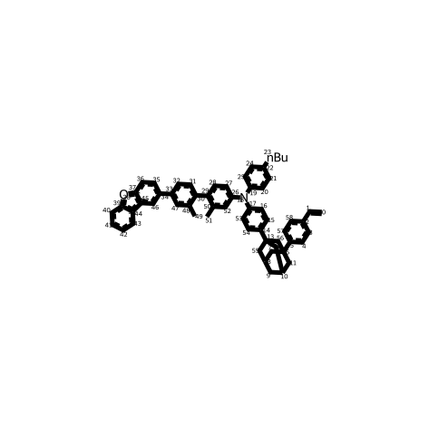 C=Cc1ccc(C23CC4CC(C2)CC(c2ccc(N(c5ccc(CCCC)cc5)c5ccc(-c6ccc(-c7ccc8oc9ccccc9c8c7)cc6C)c(C)c5)cc2)(C4)C3)cc1